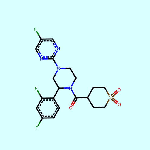 O=C(C1CCS(=O)(=O)CC1)N1CCN(c2ncc(F)cn2)CC1c1ccc(F)cc1F